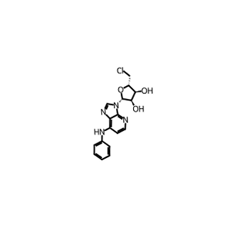 O[C@@H]1[C@H](O)[C@@H](CCl)O[C@H]1n1cnc2c(Nc3ccccc3)ccnc21